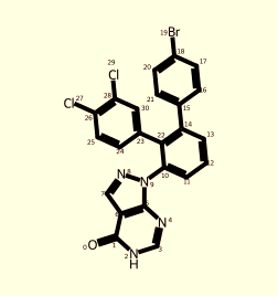 O=c1[nH]cnc2c1cnn2-c1cccc(-c2ccc(Br)cc2)c1-c1ccc(Cl)c(Cl)c1